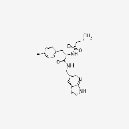 CCCS(=O)(=O)NC(Cc1ccc(F)cc1)C(=O)NCc1cnc2[nH]ccc2c1